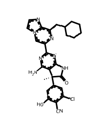 C[C@@]1(c2cc(O)c(C#N)c(Cl)c2)C(=O)Nc2nc(-c3cn4ccnc4c(CC4CCCCC4)n3)nc(N)c21